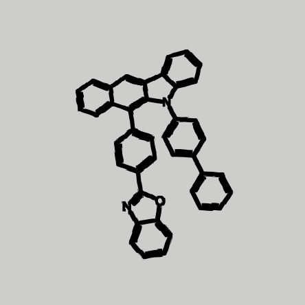 c1ccc(-c2ccc(-n3c4ccccc4c4cc5ccccc5c(-c5ccc(-c6nc7ccccc7o6)cc5)c43)cc2)cc1